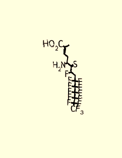 CC(=CCC(N)C(=S)C(F)CC(F)(F)C(F)(F)C(F)(F)C(F)(F)C(F)(F)C(F)(F)F)C(=O)O